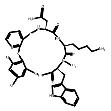 CN1C(=O)[C@H](CCCCN)NC(=O)[C@H](CC(N)=O)NCc2cccnc2Sc2c(Cl)cc(Cl)cc2CNC(=O)[C@@H]1Cc1c[nH]c2ccccc12